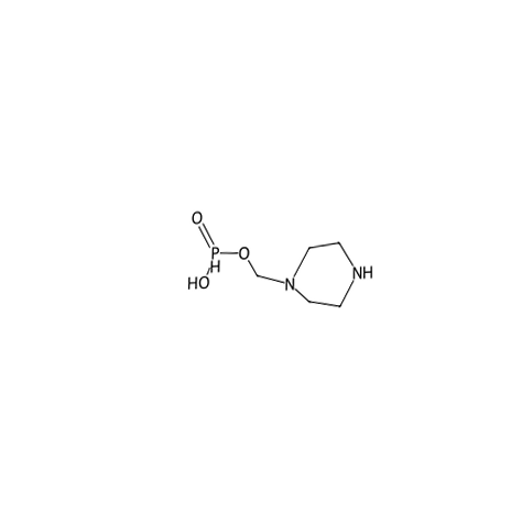 O=[PH](O)OCN1CCNCC1